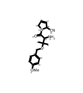 COc1ccc(CSC(C)(C)C(N)C(=O)N2CC=CC2C#N)cc1